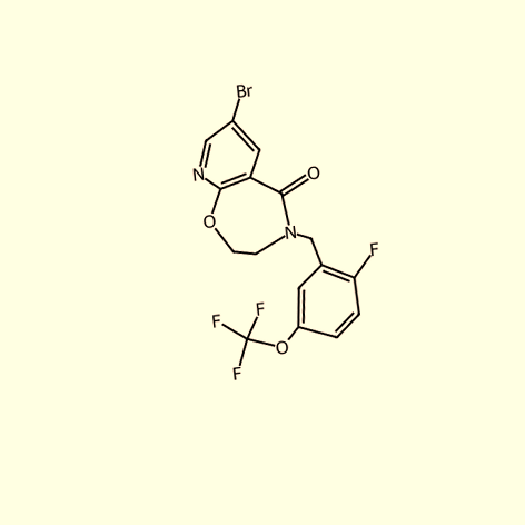 O=C1c2cc(Br)cnc2OCCN1Cc1cc(OC(F)(F)F)ccc1F